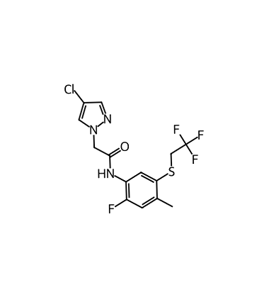 Cc1cc(F)c(NC(=O)Cn2cc(Cl)cn2)cc1SCC(F)(F)F